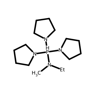 CCN(C)[PH](N1CCCC1)(N1CCCC1)N1CCCC1